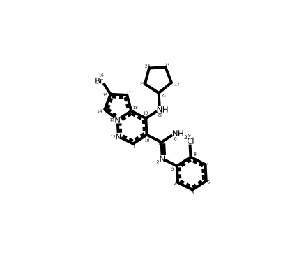 N/C(=N\c1ccccc1Cl)c1cnn2cc(Br)cc2c1NC1CCCC1